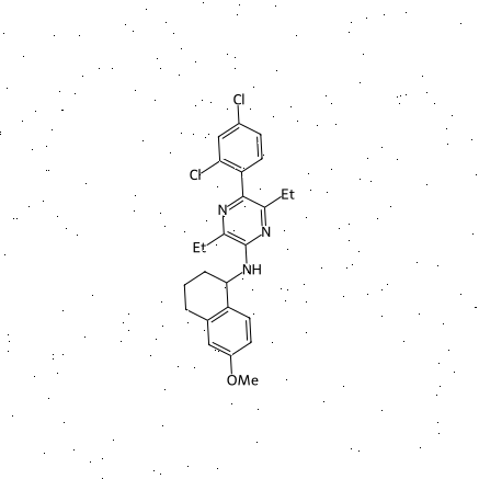 CCc1nc(-c2ccc(Cl)cc2Cl)c(CC)nc1NC1CCCc2cc(OC)ccc21